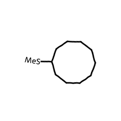 CSC1CCCCCCCCC1